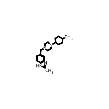 Cc1nc2cc(CN3CCN(C4CCC(C)CC4)CC3)ccc2[nH]1